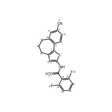 C=C(Nc1nc2c(s1)-c1ccc(C#N)cc1CCC2)c1c(F)cccc1F